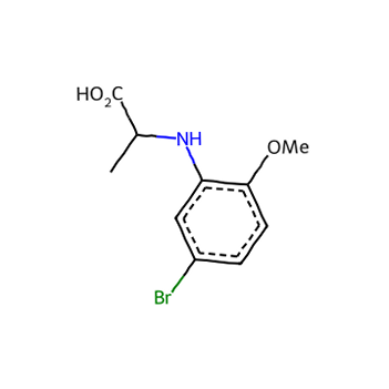 COc1ccc(Br)cc1NC(C)C(=O)O